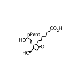 C#CC1CC(=O)[C@H](CCCCCCC(=O)O)[C@H]1C=C[C@@H](O)CCCCC